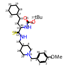 COc1ccc(CN2CCC(CNC(=S)[C@@H](CCC3CCCCC3)NC(=O)OC(C)(C)C)CC2)cc1